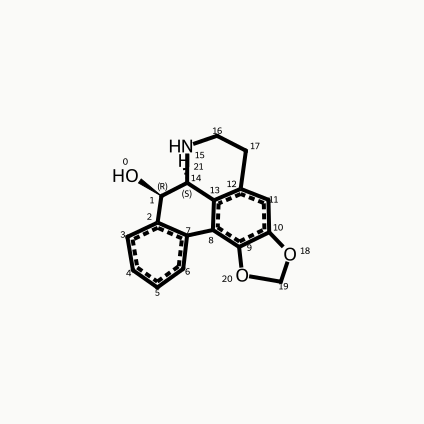 O[C@@H]1c2ccccc2-c2c3c(cc4c2[C@@H]1NCC4)OCO3